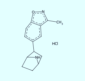 Cc1noc2ccc(C3CC4CCC3N4)cc12.Cl